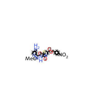 CON=C(C(=O)NC1C(=O)N2C=C(C(=O)OCc3ccc([N+](=O)[O-])cc3)CS[C@H]12)c1cc(N)ccn1